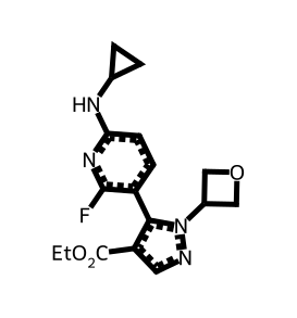 CCOC(=O)c1cnn(C2COC2)c1-c1ccc(NC2CC2)nc1F